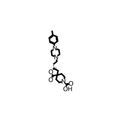 Cc1ccc(N2CCN(CC[C@@H]3CC4(CCN(C(=O)O)CC4)C(=O)O3)CC2)cc1